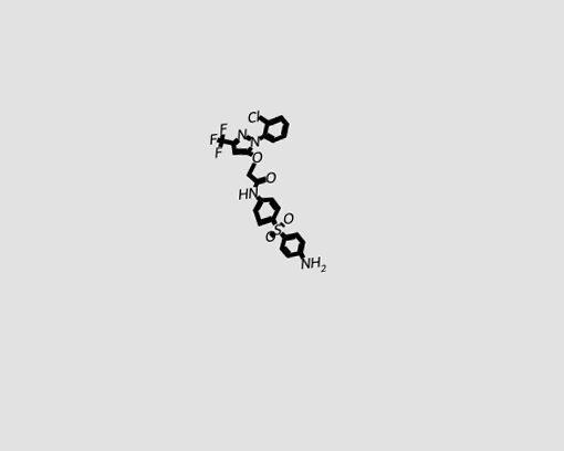 Nc1ccc(S(=O)(=O)c2ccc(NC(=O)COc3cc(C(F)(F)F)nn3-c3ccccc3Cl)cc2)cc1